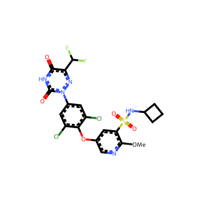 COc1ncc(Oc2c(Cl)cc(-n3nc(C(F)F)c(=O)[nH]c3=O)cc2Cl)cc1S(=O)(=O)NC1CCC1